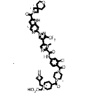 Cn1c(-c2cn(-c3cc4[nH]c(C(=O)N5CC6(CCOCC6)C5)cc4cn3)nc2C(F)(F)F)cnc1C(=O)Nc1ccc(C(=O)N2CCN(C(=O)C3CC[N+](CC(=O)O)(CC4CNC4)CC3)CC2)c(Cl)c1